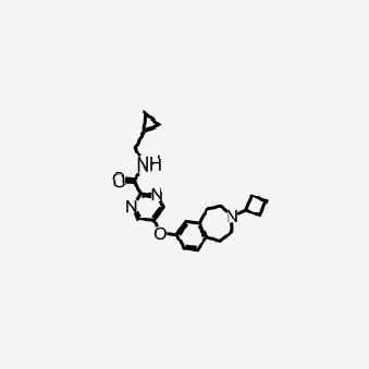 O=C(NCC1CC1)c1ncc(Oc2ccc3c(c2)CCN(C2CCC2)CC3)cn1